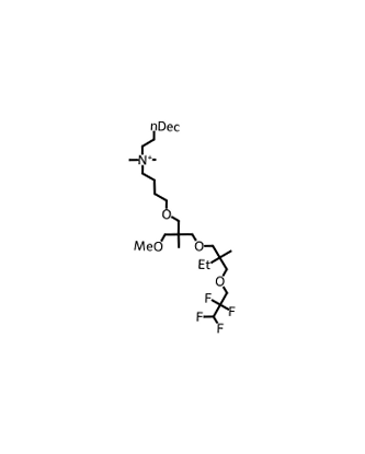 CCCCCCCCCCCC[N+](C)(C)CCCCOCC(C)(COC)COCC(C)(CC)COCC(F)(F)C(F)F